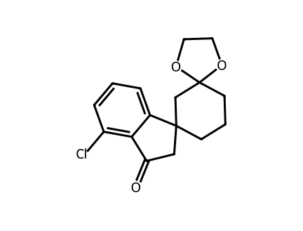 O=C1CC2(CCCC3(C2)OCCO3)c2cccc(Cl)c21